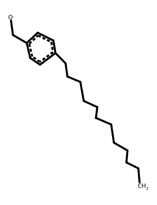 CCCCCCCCCCCCc1ccc(C[O])cc1